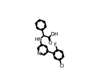 O=C(O)C(Nc1cncc(-c2cc(Cl)ccc2F)c1)c1ccccc1